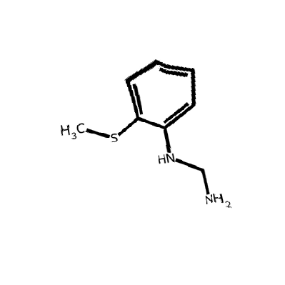 CSc1ccccc1NCN